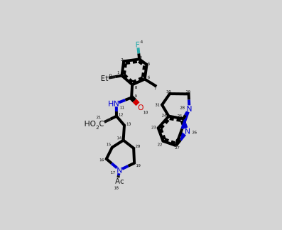 CCc1cc(F)cc(C)c1C(=O)NC(CC1CCN(C(C)=O)CC1)C(=O)O.c1cc2c3nc1N3CCC2